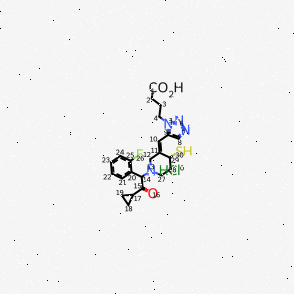 Cl.O=C(O)CCCn1nncc1/C=C1/CN(C(C(=O)C2CC2)c2ccccc2F)CCC1S